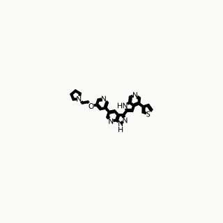 c1cc(-c2cncc3[nH]c(-c4n[nH]c5ncc(-c6cncc(OCCN7CCCC7)c6)cc45)cc23)cs1